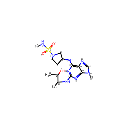 CCNS(=O)(=O)N1CCC(Nc2nc(NC(CC)C(C)O)nc3c2ncn3CC)C1